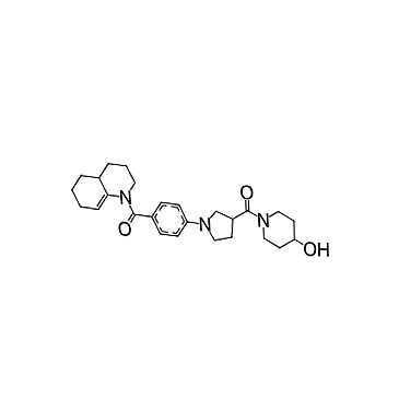 O=C(C1CCN(c2ccc(C(=O)N3CCCC4CCCC=C43)cc2)C1)N1CCC(O)CC1